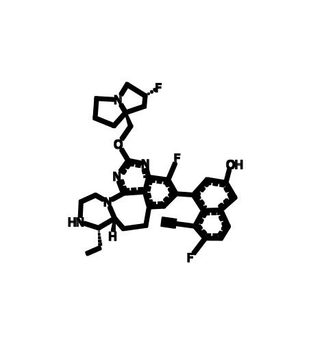 C#Cc1c(F)ccc2cc(O)cc(-c3cc4c5c(nc(OC[C@@]67CCCN6C[C@H](F)C7)nc5c3F)N3CCN[C@@H](CC)[C@H]3CC4)c12